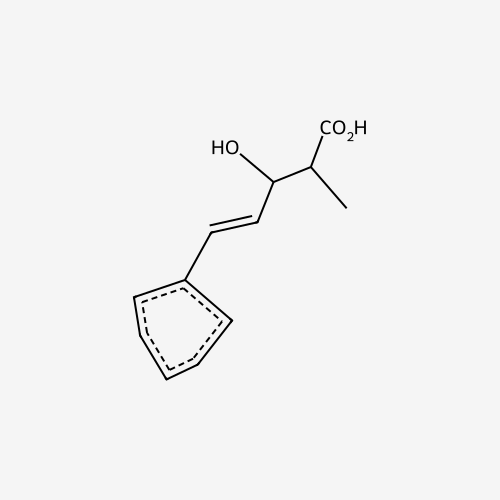 CC(C(=O)O)C(O)/C=C/c1ccccc1